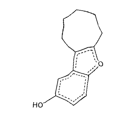 Oc1ccc2oc3c(c2c1)CCCCC3